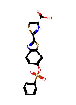 O=C(O)[C@H]1CSC(c2nc3ccc(OS(=O)(=O)c4ccccc4)cc3s2)=N1